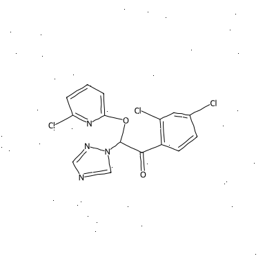 O=C(c1ccc(Cl)cc1Cl)C(Oc1cccc(Cl)n1)n1cncn1